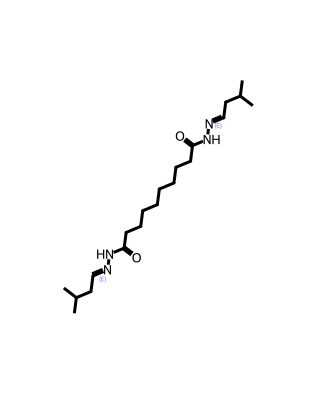 CC(C)C/C=N/NC(=O)CCCCCCCCC(=O)N/N=C/CC(C)C